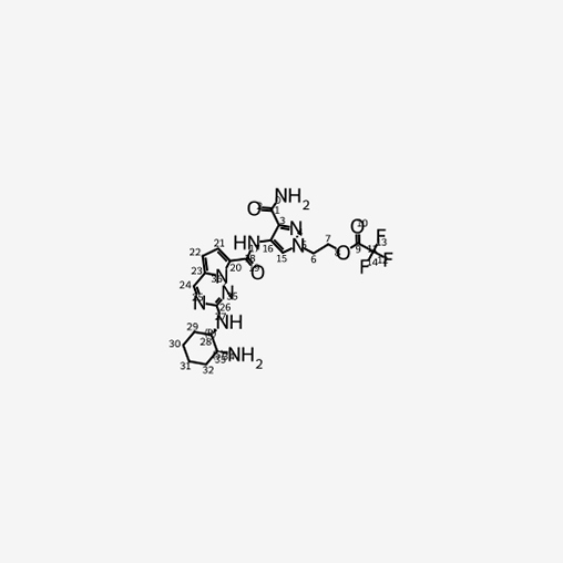 NC(=O)c1nn(CCOC(=O)C(F)(F)F)cc1NC(=O)c1ccc2cnc(N[C@@H]3CCCC[C@@H]3N)nn12